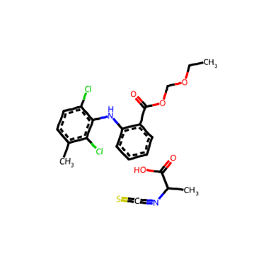 CC(N=C=S)C(=O)O.CCOCOC(=O)c1ccccc1Nc1c(Cl)ccc(C)c1Cl